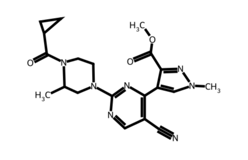 COC(=O)c1nn(C)cc1-c1nc(N2CCN(C(=O)C3CC3)C(C)C2)ncc1C#N